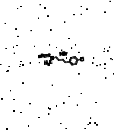 Br.CCCCCN(C)CCCCc1ccc(Cl)cc1